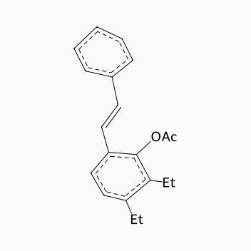 CCc1ccc(C=Cc2ccccc2)c(OC(C)=O)c1CC